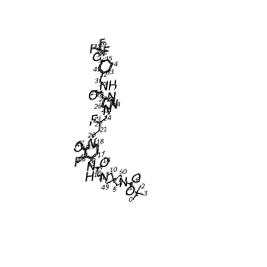 CC(C)(C)OC(=O)N1CC2(CN(CC(=O)Nc3ccn(CCC(F)Cn4cc(C(=O)NCc5cccc(OC(F)(F)F)c5)nn4)c(=O)c3F)C2)C1